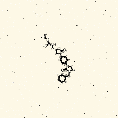 CCOC(=S)NC[C@H]1CN(c2ccc(N3CCN(Cc4ccccc4)C3=O)cc2)C(=O)O1